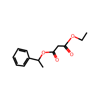 CCOC(=O)CC(=O)OC(C)c1ccccc1